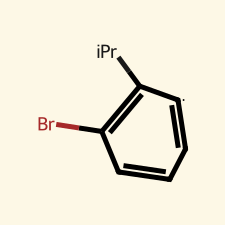 CC(C)c1[c]cccc1Br